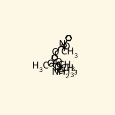 CCOC(CCN)(C(=O)OC(C)(C)C)c1ccc(OCCc2nc(-c3ccccc3)oc2C)cc1